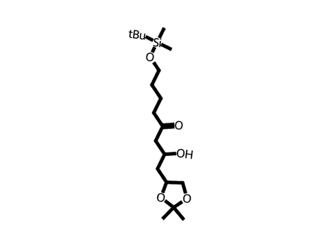 CC1(C)OCC(CC(O)CC(=O)CCCCO[Si](C)(C)C(C)(C)C)O1